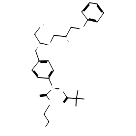 CCCNC(=O)N(OC(=O)C(F)(F)F)c1ccc(C[C@@H](CO)NC[C@H](O)COc2ccccc2)cc1